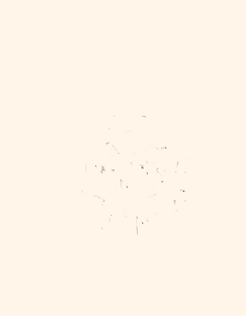 N=C(NC1C(=O)C(=O)C1Nc1ccc2oc3ccccc3c2c1)c1cc(F)c(F)cc1N